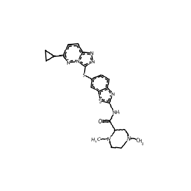 CN1CCN(C)C(C(=O)Nc2nc3ccc(Sc4nnc5ccc(C6CC6)nn45)cc3s2)C1